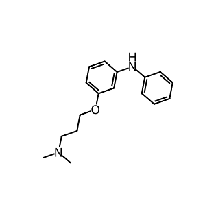 CN(C)CCCOc1cccc(Nc2ccccc2)c1